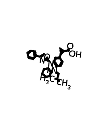 CC(C)CN(c1ccc(C2CC2C(=O)O)cc1Nc1nc(-c2ccccc2)co1)C1CCCCC1